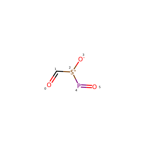 O=C[S+]([O-])P=O